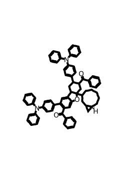 O=C(c1ccccc1)c1cc2c(cc1-c1ccc(N(c3ccccc3)c3ccccc3)cc1)C1CC(c3ccc(N(c4ccccc4)c4ccccc4)cc3)C(C(=O)c3ccccc3)CC1(C1CCCCC[C@H]3CC3C1)O2